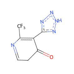 O=C1CC=NC(C(F)(F)F)=C1c1nn[nH]n1